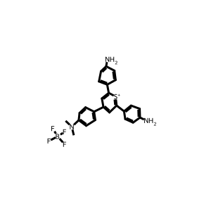 CN(C)c1ccc(-c2cc(-c3ccc(N)cc3)[s+]c(-c3ccc(N)cc3)c2)cc1.F[B-](F)(F)F